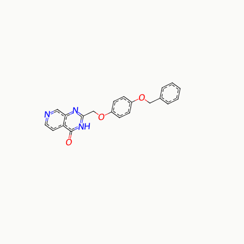 O=c1[nH]c(COc2ccc(OCc3ccccc3)cc2)nc2cnccc12